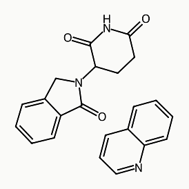 O=C1CCC(N2Cc3ccccc3C2=O)C(=O)N1.c1ccc2ncccc2c1